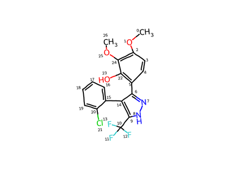 COc1ccc(-c2n[nH]c(C(F)(F)F)c2-c2ccccc2Cl)c(O)c1OC